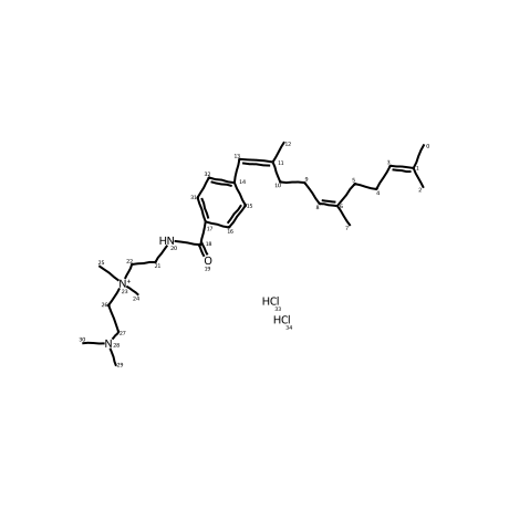 CC(C)=CCCC(C)=CCCC(C)=Cc1ccc(C(=O)NCC[N+](C)(C)CCN(C)C)cc1.Cl.Cl